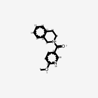 COc1ccc(C(=O)N2CCc3ccccc3C2)cn1